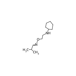 CC(C)/C=N/OCCNC1CCCCC1